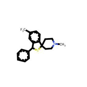 CN1CCC2(CC1)SC(c1ccccc1)c1cc(C(F)(F)F)ccc12